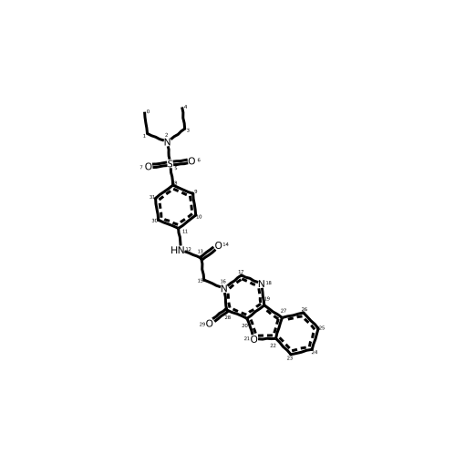 CCN(CC)S(=O)(=O)c1ccc(NC(=O)Cn2cnc3c(oc4ccccc43)c2=O)cc1